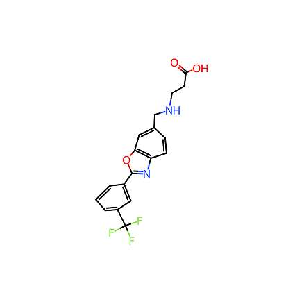 O=C(O)CCNCc1ccc2nc(-c3cccc(C(F)(F)F)c3)oc2c1